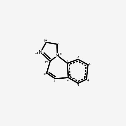 C1=Cc2ccccc2N2CCN=C12